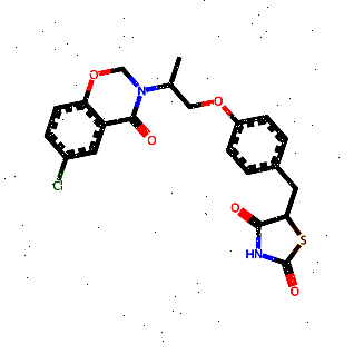 CC(COc1ccc(CC2SC(=O)NC2=O)cc1)N1COc2ccc(Cl)cc2C1=O